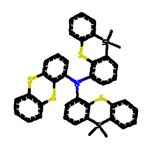 C[Si]1(C)c2ccccc2Sc2c(N(c3cccc4c3Sc3ccccc3S4)c3cccc4c3Sc3ccccc3[Si]4(C)C)cccc21